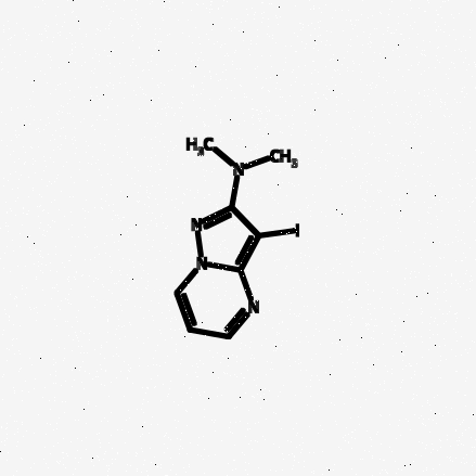 CN(C)c1nn2cccnc2c1I